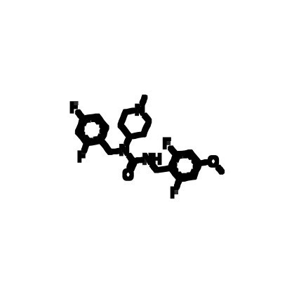 COc1cc(F)c(CNC(=O)N(Cc2ccc(F)cc2F)C2CCN(C)CC2)c(F)c1